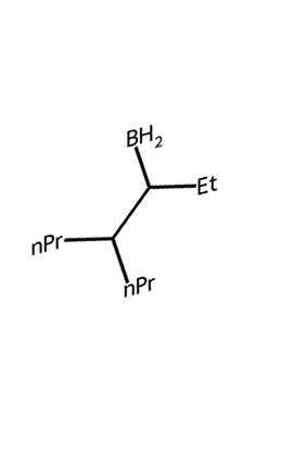 BC(CC)C(CCC)CCC